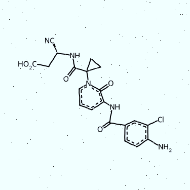 N#C[C@H](CC(=O)O)NC(=O)C1(n2cccc(NC(=O)c3ccc(N)c(Cl)c3)c2=O)CC1